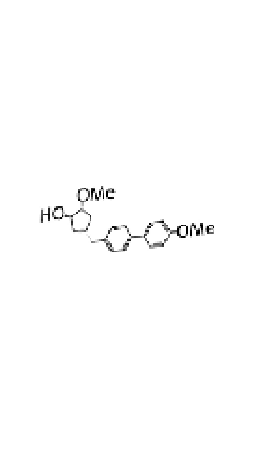 COc1ccc(-c2ccc(C[C@@H]3C[C@@H](O)[C@H](OC)C3)cc2)cc1